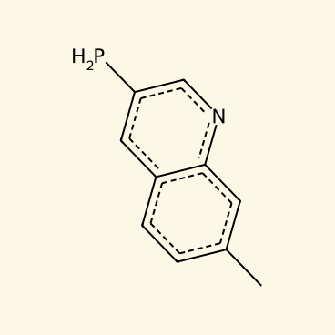 Cc1ccc2cc(P)cnc2c1